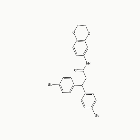 CC(C)(C)c1ccc(C(CC(=O)Nc2ccc3c(c2)OCCO3)c2ccc(C(C)(C)C)cc2)cc1